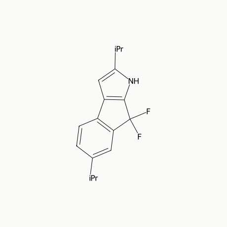 CC(C)c1ccc2c(c1)C(F)(F)c1[nH]c(C(C)C)cc1-2